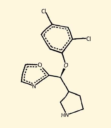 Clc1ccc(O[C@H](c2ncco2)C2CCNC2)c(Cl)c1